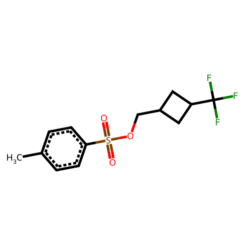 Cc1ccc(S(=O)(=O)OCC2CC(C(F)(F)F)C2)cc1